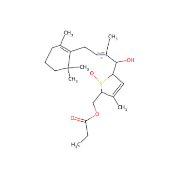 CCC(=O)OCC1C(C)=CC(C(O)/C(C)=C/CC2=C(C)CCCC2(C)C)[S+]1[O-]